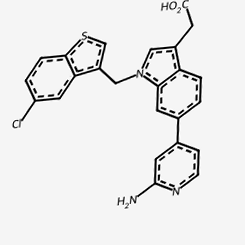 Nc1cc(-c2ccc3c(CC(=O)O)cn(Cc4csc5ccc(Cl)cc45)c3c2)ccn1